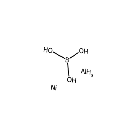 OB(O)O.[AlH3].[Ni]